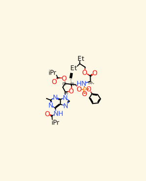 C#C[C@]1(COP(=O)(N[C@@H](C)C(=O)OCC(CC)CC)Oc2ccccc2)O[C@@H](n2cnc3c(NC(=O)C(C)C)nc(C)nc32)C[C@@H]1OC(=O)C(C)C